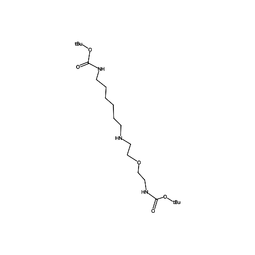 CC(C)(C)OC(=O)NCCCCCCNCCOCCNC(=O)OC(C)(C)C